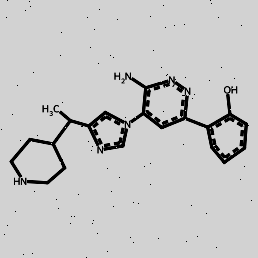 CC(c1cn(-c2cc(-c3ccccc3O)nnc2N)cn1)C1CCNCC1